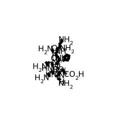 C[C@@H](O)[C@H](NC(=O)[C@H](CCN)NC(=O)[C@H](CCN)NC(=O)[C@H](CC(C)(C)N)NC(=O)[C@@H](Cc1ccccc1)NC(=O)[C@H](CCN)NC(=O)[C@@H](N)CCN)C(=O)O